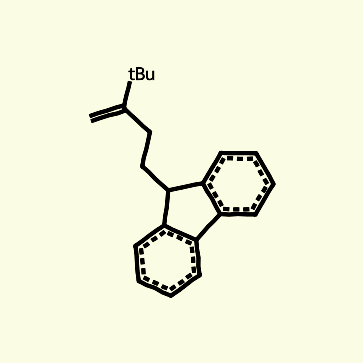 C=C(CCC1c2ccccc2-c2ccccc21)C(C)(C)C